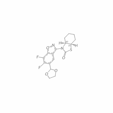 O=C1S[C@H]2CCCC[C@H]2N1c1noc2c(F)c(F)c(C3OCCO3)cc12